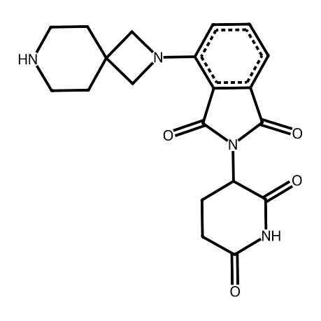 O=C1CCC(N2C(=O)c3cccc(N4CC5(CCNCC5)C4)c3C2=O)C(=O)N1